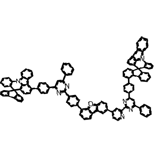 c1ccc(-c2cc(-c3ccc(-c4ccc5c6c4c4ccccc4n6-c4ccccc4C54c5ccccc5-c5ccccc54)cc3)nc(-c3ccc(-c4cccc5c4oc4ccc(-c6ccnc(-c7nc(-c8ccccc8)cc(-c8ccc(-c9cccc%10c9-c9ccccc9C%109c%10ccccc%10-n%10c%11ccccc%11c%11cccc9c%11%10)cc8)n7)c6)cc45)cc3)n2)cc1